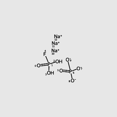 O=P(O)(O)F.O=P([O-])([O-])[O-].[Na+].[Na+].[Na+]